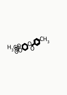 Cc1ccc(C(=O)OC2CCC(OS(C)(=O)=O)CC2)cc1